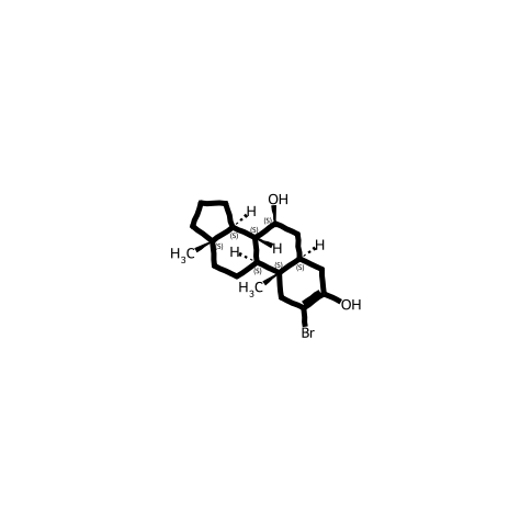 C[C@@]12CCC[C@H]1[C@@H]1[C@@H](O)C[C@H]3CC(O)=C(Br)C[C@]3(C)[C@H]1CC2